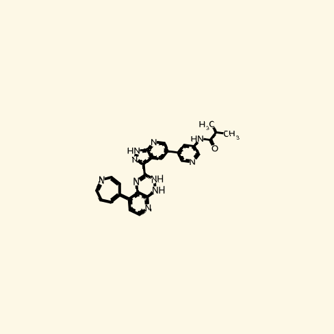 CC(C)C(=O)Nc1cncc(-c2cnc3[nH]nc(C4=Nc5c(C6=CCC=NC=C6)ccnc5NN4)c3c2)c1